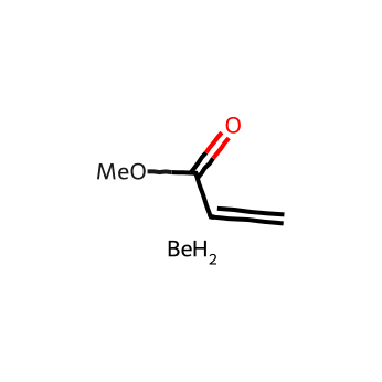 C=CC(=O)OC.[BeH2]